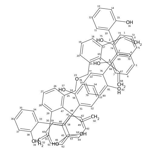 C=CC(c1ccccc1O)(c1ccccc1O)c1cccc(COCc2cccc(C(C=C)(c3ccccc3O)c3ccccc3O)c2C(C=C)(c2ccccc2O)c2ccccc2O)c1C(C=C)(c1ccccc1O)c1ccccc1O